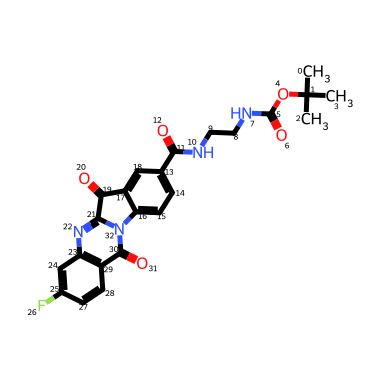 CC(C)(C)OC(=O)NCCNC(=O)c1ccc2c(c1)C(=O)c1nc3cc(F)ccc3c(=O)n1-2